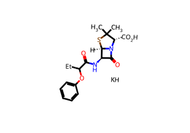 CCC(Oc1ccccc1)C(=O)N[C@@H]1C(=O)N2[C@@H]1SC(C)(C)[C@@H]2C(=O)O.[KH]